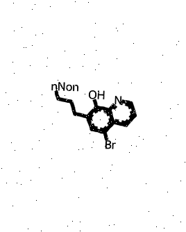 CCCCCCCCCCCCc1cc(Br)c2cccnc2c1O